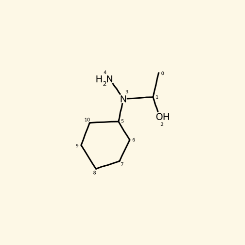 CC(O)N(N)C1CCCCC1